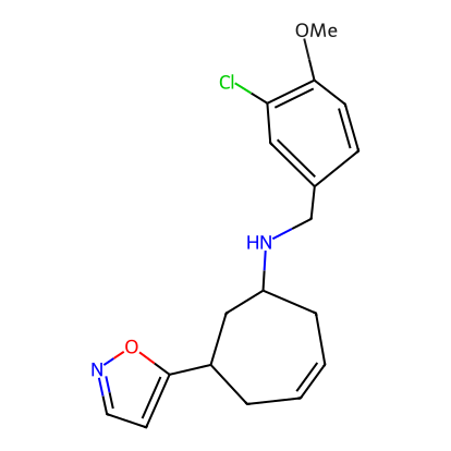 COc1ccc(CNC2CC=CCC(c3ccno3)C2)cc1Cl